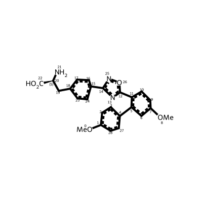 COc1ccc(-c2cc(OC)ccc2-c2nc(-c3ccc(C[C@H](N)C(=O)O)cc3)no2)cc1